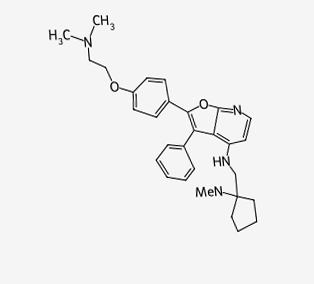 CNC1(CNc2ccnc3oc(-c4ccc(OCCN(C)C)cc4)c(-c4ccccc4)c23)CCCC1